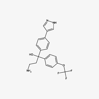 NCCC(O)(c1ccc(OC(F)(F)F)cc1)c1ccc(-c2cn[nH]c2)cc1